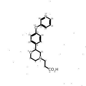 O=C(O)CCN1CCOC(c2ccc(Oc3cccnc3)cc2)C1